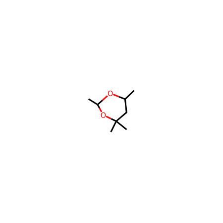 CC1CC(C)(C)OC(C)O1